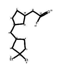 CCC1(CC)CCC(CC2CCC(CC(=O)F)C2)C1